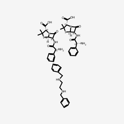 CC1(C)S[C@@H]2[C@H](NC(=O)[C@H](N)c3ccccc3)C(=O)N2[C@H]1C(=O)O.CC1(C)S[C@@H]2[C@H](NC(=O)[C@H](N)c3ccccc3)C(=O)N2[C@H]1C(=O)O.c1ccc(CNCCNCc2ccccc2)cc1